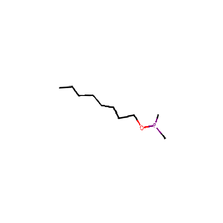 CCCCCCCCOP(C)C